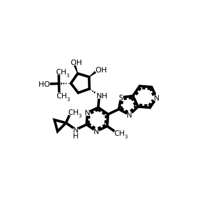 Cc1nc(NC2(C)CC2)nc(N[C@@H]2C[C@H](C(C)(C)O)[C@@H](O)[C@H]2O)c1-c1nc2cnccc2s1